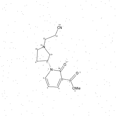 COC(=O)c1cccn([C@@H]2CCN(CCC#N)C2)c1=O